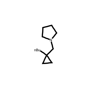 CCCCC1(CN2CCCC2)CC1